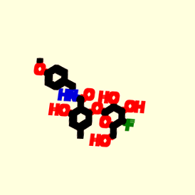 COc1ccc(CNC(=O)C2C(O)=CC(C)=CC2OC2OC(CO)C(F)C(O)C2O)cc1